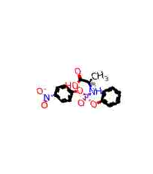 C[C@@H](NP(=O)(Oc1ccccc1)Oc1ccc([N+](=O)[O-])cc1)C(=O)O